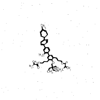 C=C(C)C(=O)OCCCc1cc(-c2ccc(-c3ccc(C4CCC(C)CC4)cc3)cc2C)cc(CCCOC(=O)C(=C)C)c1OCC(CC)(CO)CO